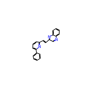 C(=Cc1cnc2ccccc2n1)c1cccc(-c2ccccc2)n1